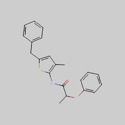 CC(Oc1ccccc1)C(=O)Nc1sc(Cc2ccccc2)cc1C#N